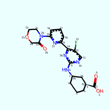 O=C(O)[C@H]1CCC[C@@H](Nc2ncc(F)c(-c3cccc(N4CCOCC4=O)n3)n2)C1